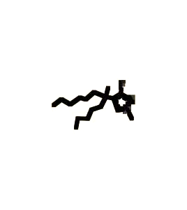 CCCCCCC(C)(CCCCC)c1cn(C)nc1F